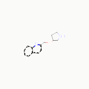 c1ccc2nc(COC3CCNC3)ccc2c1